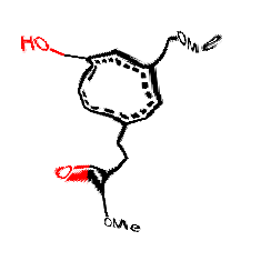 COC(=O)Cc1cc(O)cc(OC)c1